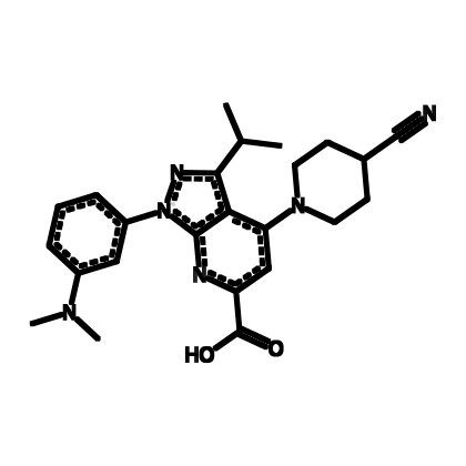 CC(C)c1nn(-c2cccc(N(C)C)c2)c2nc(C(=O)O)cc(N3CCC(C#N)CC3)c12